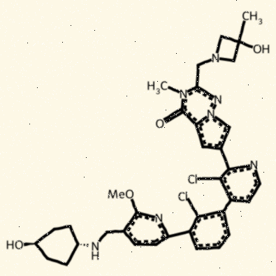 COc1nc(-c2cccc(-c3ccnc(-c4cc5c(=O)n(C)c(CN6CC(C)(O)C6)nn5c4)c3Cl)c2Cl)ccc1CN[C@H]1CC[C@H](O)CC1